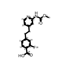 COC(=O)Nc1cc(CCc2ccc(C(=O)O)c(F)c2)ccn1